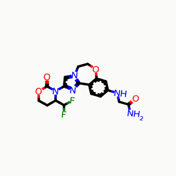 NC(=O)CNc1ccc2c(c1)OCCn1cc(N3C(=O)OCCC3C(F)F)nc1-2